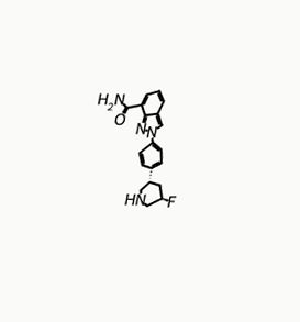 NC(=O)c1cccc2cn(-c3ccc([C@H]4CNC[C@H](F)C4)cc3)nc12